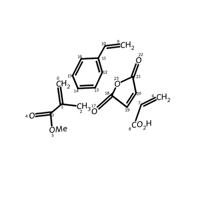 C=C(C)C(=O)OC.C=CC(=O)O.C=Cc1ccccc1.O=C1C=CC(=O)O1